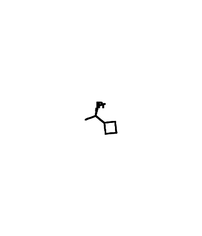 CC(C)[C@H](C)C1CCC1